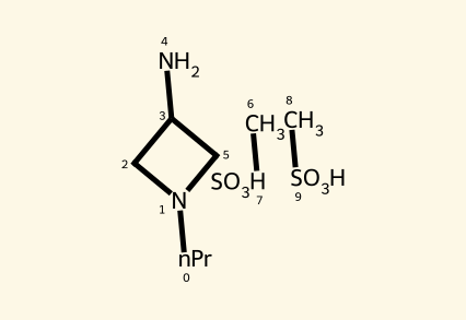 CCCN1CC(N)C1.CS(=O)(=O)O.CS(=O)(=O)O